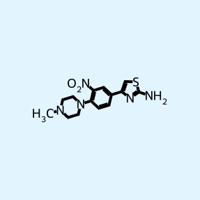 CN1CCN(c2ccc(-c3csc(N)n3)cc2[N+](=O)[O-])CC1